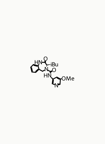 CC[C@H](C)[C@H]1C(=O)Nc2ccccc2CN1C(=O)Nc1cncc(OC)c1